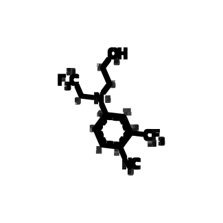 [C-]#[N+]c1ccc(N(CCO)CC(F)(F)F)cc1C(F)(F)F